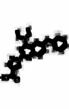 CCN(CC)c1nc(-n2cc(C(=O)O)cn2)nc2ccc(Cc3ccccc3)cc12